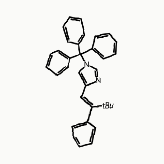 CC(C)(C)/C(=C\c1cn(C(c2ccccc2)(c2ccccc2)c2ccccc2)cn1)c1ccccc1